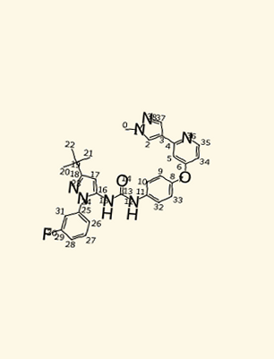 Cn1cc(-c2cc(Oc3ccc(NC(=O)Nc4cc(C(C)(C)C)nn4-c4cccc(F)c4)cc3)ccn2)cn1